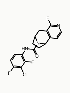 O=C(Nc1ccc(F)c(Cl)c1F)N1C2CCC1c1ccnc(F)c1C2